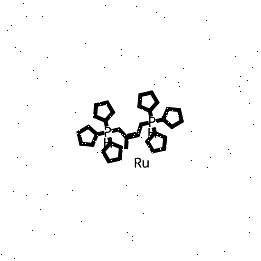 CC(=CC[PH](C1CCCC1)(C1CCCC1)C1CCCC1)C[PH](C1CCCC1)(C1CCCC1)C1CCCC1.[Ru]